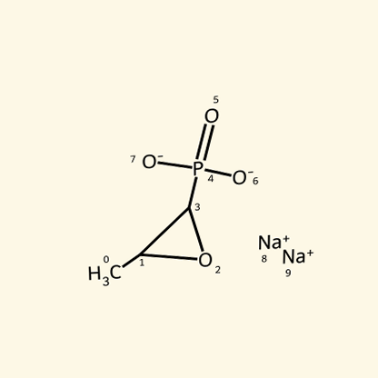 CC1OC1P(=O)([O-])[O-].[Na+].[Na+]